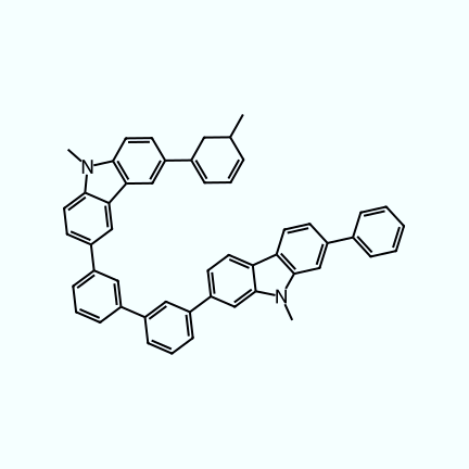 CC1C=CC=C(c2ccc3c(c2)c2cc(-c4cccc(-c5cccc(-c6ccc7c8ccc(-c9ccccc9)cc8n(C)c7c6)c5)c4)ccc2n3C)C1